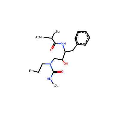 CC(=O)NC(C(=O)NC(Cc1ccccc1)C(O)CN(CCC(C)C)C(=O)NC(C)(C)C)C(C)(C)C